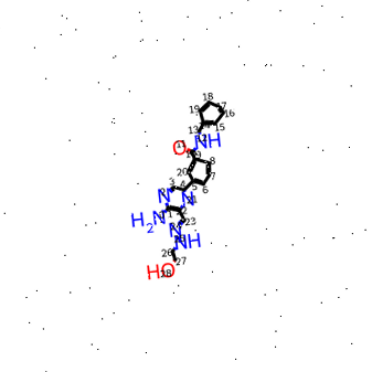 Nc1ncc(-c2cccc(C(=O)NCc3ccccc3)c2)nc1/C=N/NCCO